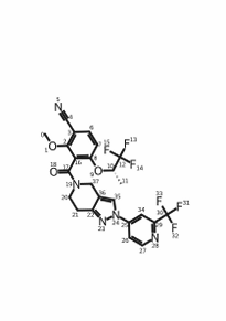 COc1c(C#N)ccc(O[C@@H](C)C(F)(F)F)c1C(=O)N1CCc2nn(-c3ccnc(C(F)(F)F)c3)cc2C1